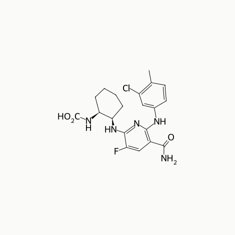 Cc1ccc(Nc2nc(N[C@@H]3CCCC[C@@H]3NC(=O)O)c(F)cc2C(N)=O)cc1Cl